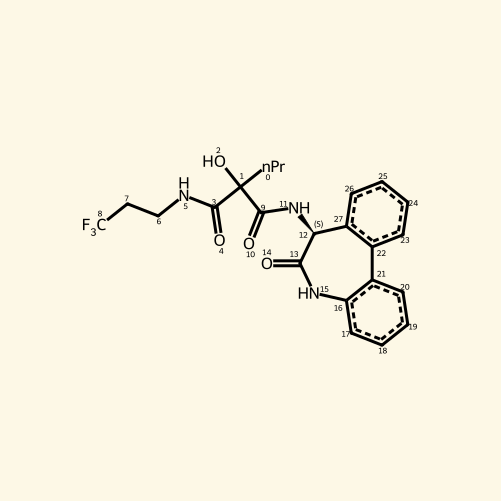 CCCC(O)(C(=O)NCCC(F)(F)F)C(=O)N[C@@H]1C(=O)Nc2ccccc2-c2ccccc21